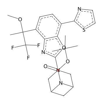 COC(C)(c1ccc(-c2nccs2)c2oc(N3CC4CC(C3)N4C(=O)OC(C)(C)C)nc12)C(F)(F)F